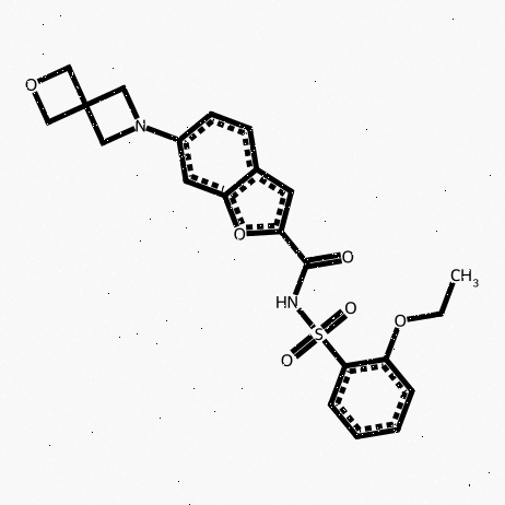 CCOc1ccccc1S(=O)(=O)NC(=O)c1cc2ccc(N3CC4(COC4)C3)cc2o1